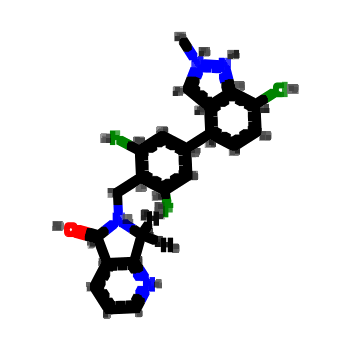 [2H]C1([2H])c2ncccc2C(=O)N1Cc1c(F)cc(-c2ccc(Cl)c3nn(C)cc23)cc1F